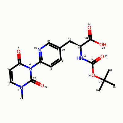 Cn1ccc(=O)n(-c2ccc(C[C@H](NC(=O)OC(C)(C)C)C(=O)O)cn2)c1=O